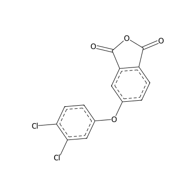 O=C1OC(=O)c2cc(Oc3ccc(Cl)c(Cl)c3)ccc21